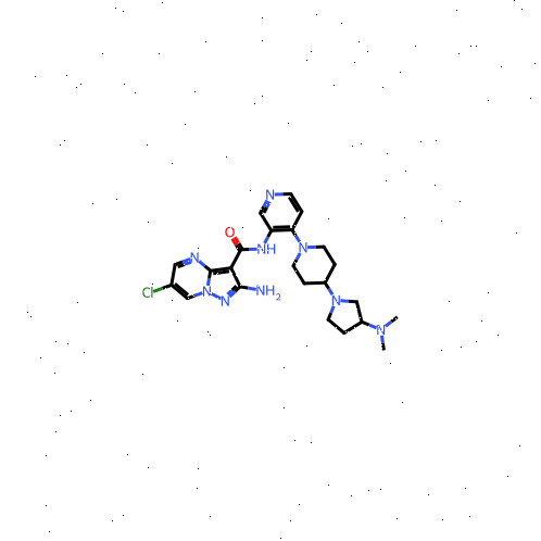 CN(C)C1CCN(C2CCN(c3ccncc3NC(=O)c3c(N)nn4cc(Cl)cnc34)CC2)C1